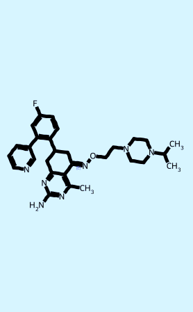 Cc1nc(N)nc2c1/C(=N/OCCN1CCN(C(C)C)CC1)CC(c1ccc(F)cc1-c1cccnc1)C2